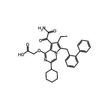 CCc1c(C(=O)C(N)=O)c2c(OCC(=O)O)nc(C3CCCCC3)cn2c1Cc1ccccc1-c1ccccc1